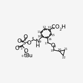 CC(C)(C)OC(=O)S(=O)(=O)OCNc1ccc(C(=O)O)cc1COCC1CC1